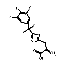 C=C(Cc1nc(C(F)(F)c2cc(Cl)c(F)c(Cl)c2)no1)C(=O)O